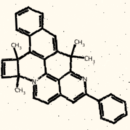 CC1(C)c2cc3ccccc3c3c2-c2c4c1nc(-c1ccccc1)cc4cc[n+]2C1(C)C=CC31C